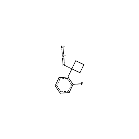 [N-]=[N+]=NC1(c2ccccc2F)CCC1